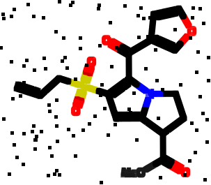 C=CCS(=O)(=O)c1cc2n(c1C(=O)c1ccoc1)CCC2C(=O)OC